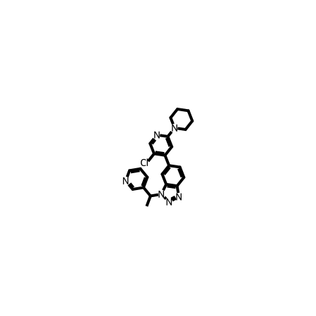 CC(c1cccnc1)n1nnc2ccc(-c3cc(N4CCCCC4)ncc3Cl)cc21